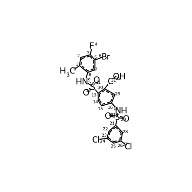 Cc1cc(F)c(Br)cc1NS(=O)(=O)c1ccc(NS(=O)(=O)c2cc(Cl)cc(Cl)c2)cc1CO